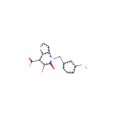 COc1cccc(Cn2c(=O)c(O)c(C(=O)O)c3sccc32)c1